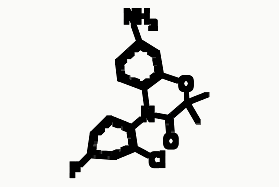 CC1(C)Oc2cc(N)ccc2N(c2ccc(F)cc2Cl)C1=O